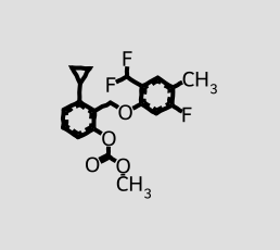 COC(=O)Oc1cccc(C2CC2)c1COc1cc(F)c(C)cc1C(F)F